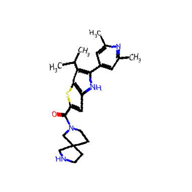 Cc1cc(-c2[nH]c3cc(C(=O)N4CCC5(CCNC5)C4)sc3c2C(C)C)cc(C)n1